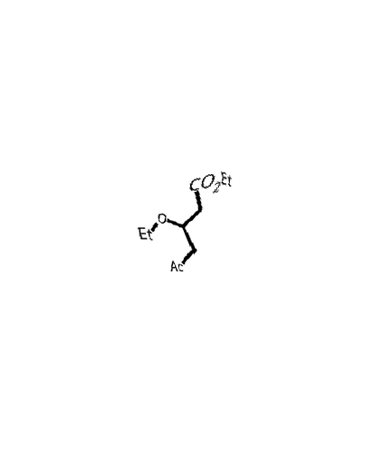 CCOC(=O)CC(CC(C)=O)OCC